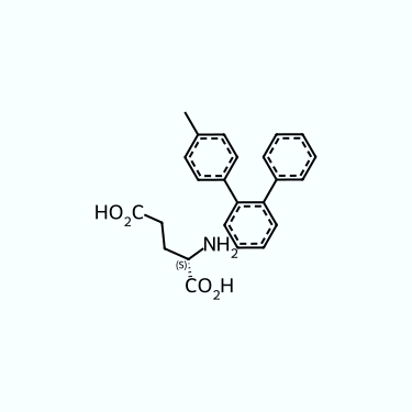 Cc1ccc(-c2ccccc2-c2ccccc2)cc1.N[C@@H](CCC(=O)O)C(=O)O